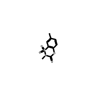 Cc1ccc2c(c1)S(=O)(=O)N(C)C(=O)O2